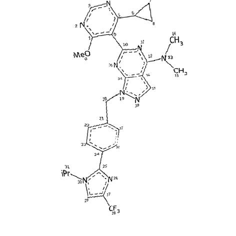 COc1ncnc(C2CC2)c1-c1nc(N(C)C)c2cnn(Cc3ccc(-c4nc(C(F)(F)F)cn4C(C)C)cc3)c2n1